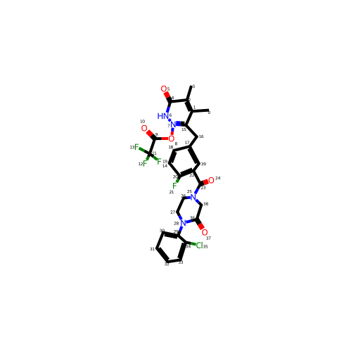 Cc1c(C)c(=O)[nH][n+](OC(=O)C(F)(F)F)c1Cc1ccc(F)c(C(=O)N2CCN(c3ccccc3Cl)C(=O)C2)c1